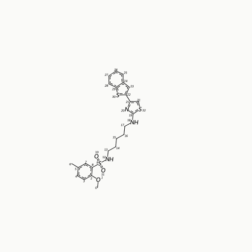 COc1ccc(C)cc1S(=O)(=O)NCCCCCNc1nc(-c2cc3ccccc3s2)cs1